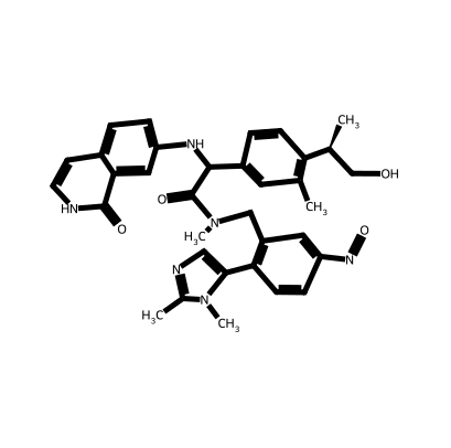 Cc1cc(C(Nc2ccc3cc[nH]c(=O)c3c2)C(=O)N(C)Cc2cc(N=O)ccc2-c2cnc(C)n2C)ccc1[C@@H](C)CO